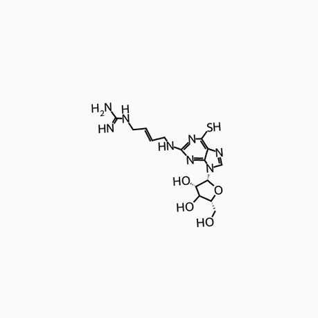 N=C(N)NC/C=C/CNc1nc(S)c2ncn([C@@H]3O[C@H](CO)C(O)[C@@H]3O)c2n1